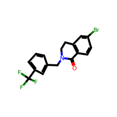 O=C1c2ccc(Br)cc2CCN1Cc1cccc(C(F)(F)F)c1